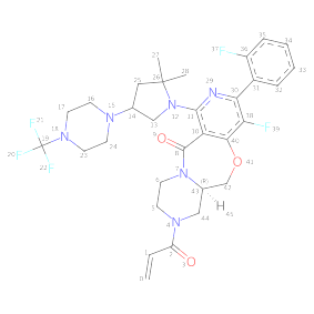 C=CC(=O)N1CCN2C(=O)c3c(N4CC(N5CCN(C(F)(F)F)CC5)CC4(C)C)nc(-c4ccccc4F)c(F)c3OC[C@H]2C1